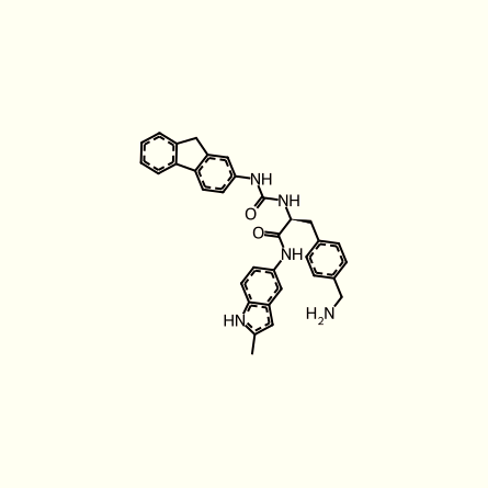 Cc1cc2cc(NC(=O)[C@H](Cc3ccc(CN)cc3)NC(=O)Nc3ccc4c(c3)Cc3ccccc3-4)ccc2[nH]1